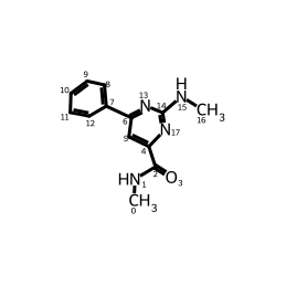 CNC(=O)c1cc(-c2ccccc2)nc(NC)n1